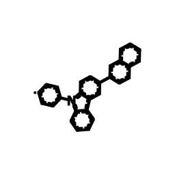 [c]1ccc(-n2c3ccccc3c3cc(-c4ccc5ccccc5c4)ccc32)cc1